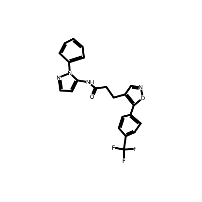 O=C(CCc1cnoc1-c1ccc(C(F)(F)F)cc1)Nc1ccnn1-c1ccccc1